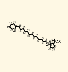 CCCCCCC1(SCCCCCCCCCCCCCC2CCCCO2)CCCC1